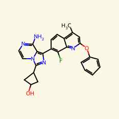 Cc1cc(Oc2ccccc2)nc2c(F)c(-c3nc(C4CC(O)C4)n4ccnc(N)c34)ccc12